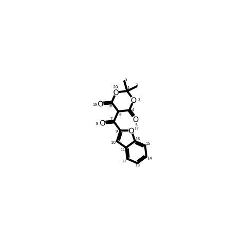 CC1(C)OC(=O)C(C(=O)c2cc3ccccc3o2)C(=O)O1